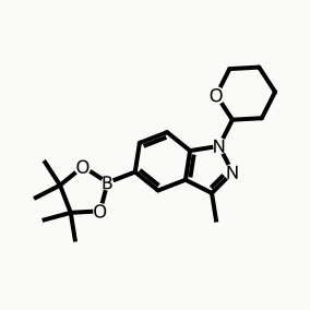 Cc1nn(C2CCCCO2)c2ccc(B3OC(C)(C)C(C)(C)O3)cc12